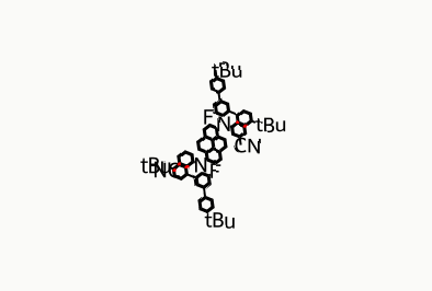 CC(C)(C)c1ccc(-c2cc(F)c(N(c3cccc(C#N)c3)c3ccc4ccc5c(N(c6cccc(C#N)c6)c6c(F)cc(-c7ccc(C(C)(C)C)cc7)cc6-c6ccc(C(C)(C)C)cc6)ccc6ccc3c4c65)c(-c3ccc(C(C)(C)C)cc3)c2)cc1